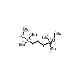 CCCCO[Si](CCC[Si](OCCCC)(C(C)(C)C)C(C)(C)C)(C(C)(C)C)C(C)(C)C